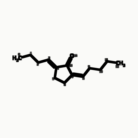 CCC/C=C1\CC/C(=C/CCCC)C1=O